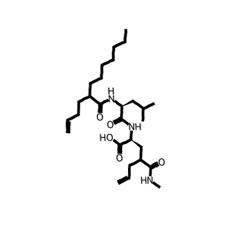 C=CCCC(CCCCCCC)C(=O)N[C@@H](CC(C)C)C(=O)N[C@@H](CC(CC=C)C(=O)NC)C(=O)O